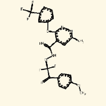 COc1ccc(C(=O)C(F)(F)ONC(=N)c2cc(C)nnc2Oc2cccc(C(F)(F)F)c2)cc1